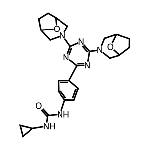 O=C(Nc1ccc(-c2nc(N3CC4CCC(C3)O4)nc(N3CC4CCC(C3)O4)n2)cc1)NC1CC1